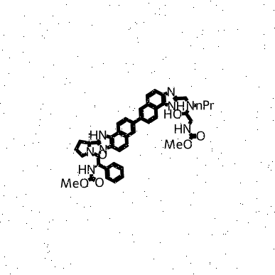 CCCN(Cc1nc2ccc3cc(-c4ccc5c(ccc6nc([C@]7(C)CCCN7C(=O)[C@H](NC(=O)OC)c7ccccc7)[nH]c65)c4)ccc3c2[nH]1)C(O)CNC(=O)OC